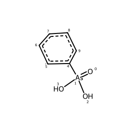 O=[As](O)(O)c1[c]cccc1